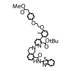 COC(=O)Cc1ccc(OCCOc2cccc(-c3ccc(N4CCc5cccc(C(=O)Nc6nc7ccccc7s6)c5C4)nc3C(=O)OC(C)(C)C)c2C)cc1